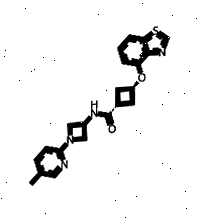 Cc1ccc(N2CC(NC(=O)[C@H]3C[C@H](Oc4cccc5scnc45)C3)C2)nc1